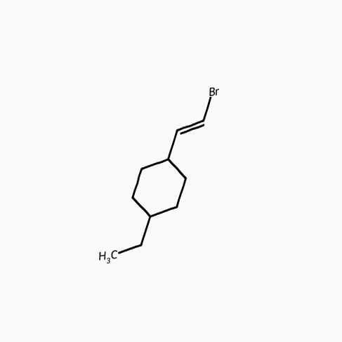 CCC1CCC(C=CBr)CC1